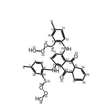 Cc1ccc(Nc2ccc(Nc3ccc(C)cc3SOOO)c3c2C(=O)C2C=CC=CC2C3=O)c(SOOO)c1